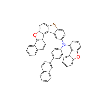 c1ccc2cc(-c3ccc(N(c4ccc5sc6ccc7oc8c9ccccc9ccc8c7c6c5c4)c4cccc5oc6ccccc6c45)cc3)ccc2c1